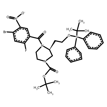 CC(C)(C)OC(=O)N1CCN(C(=O)c2cc([N+](=O)[O-])c(Br)cc2F)[C@@H](CCO[Si](c2ccccc2)(c2ccccc2)C(C)(C)C)C1